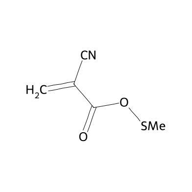 C=C(C#N)C(=O)OSC